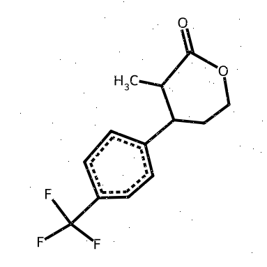 CC1C(=O)OCCC1c1ccc(C(F)(F)F)cc1